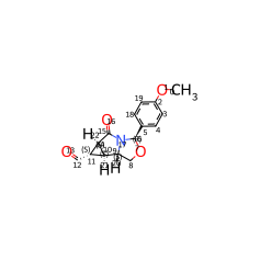 COc1ccc([C@H]2OC[C@@H]3[C@H]4[C@H](C=O)[C@H]4C(=O)N23)cc1